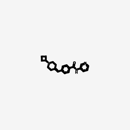 O=C(Nc1cccnc1)c1ccc(C=C2CCN(C3CCC3)CC2)cc1